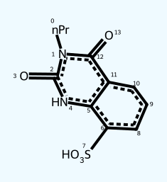 CCCn1c(=O)[nH]c2c(S(=O)(=O)O)cccc2c1=O